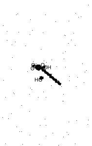 CC(C)O.CCCCCCCCCCCCCCC(C(=O)O)c1ccc([N+](=O)[O-])cc1